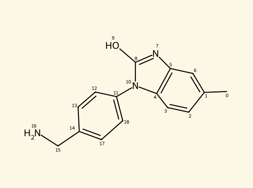 Cc1ccc2c(c1)nc(O)n2-c1ccc(CN)cc1